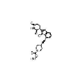 CC(C)(C)OC(=O)N1CCC(C#Cc2cccc3c2C(=O)N(C2CCC(=O)NC2=O)C3)CC1